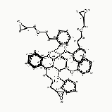 c1ccc(ON2P(Oc3ccccc3)N=P(Oc3ccccc3CCOCC3CO3)(Oc3ccccc3CCOCC3CO3)N(Oc3ccccc3CCOCC3CO3)P2Oc2ccccc2)cc1